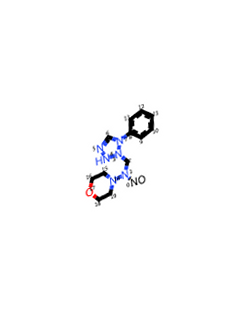 O=NN(CN1NN=CN1c1ccccc1)N1CCOCC1